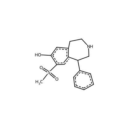 CS(=O)(=O)c1cc2c(cc1O)CCNCC2c1ccccc1